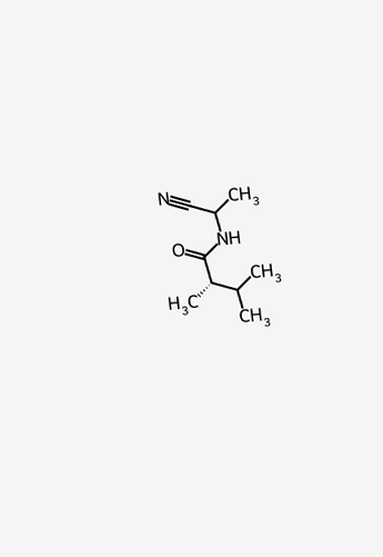 CC(C#N)NC(=O)[C@@H](C)C(C)C